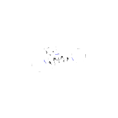 CC(C)C1(/C(=C/C(=O)OC(=O)/C2=C/CCCCCCCCCC2)C(=O)OC(=O)/C2=C/CCCCCCCCCC2)CC[Si](C)(C)CC1